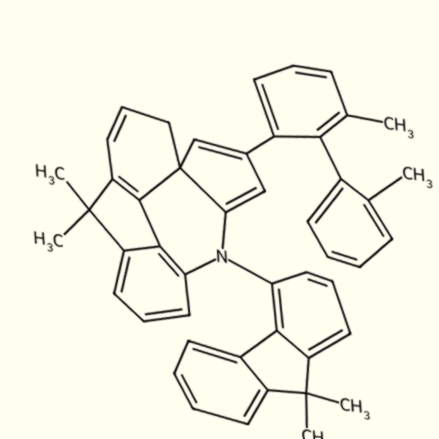 Cc1ccccc1-c1c(C)cccc1C1=CC23CC=CC4=C2c2c(cccc2C4(C)C)N(c2cccc4c2-c2ccccc2C4(C)C)C3=C1